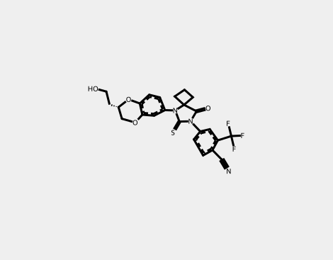 N#Cc1ccc(N2C(=O)C3(CCC3)N(c3ccc4c(c3)OC[C@H](CCO)O4)C2=S)cc1C(F)(F)F